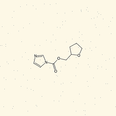 O=C(OCC1CCCO1)n1ccnc1